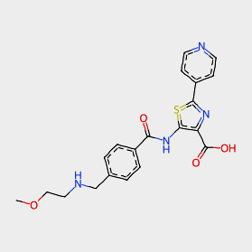 COCCNCc1ccc(C(=O)Nc2sc(-c3ccncc3)nc2C(=O)O)cc1